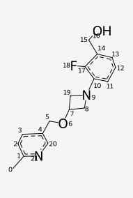 Cc1ccc(COC2CN(c3cccc(CO)c3F)C2)cn1